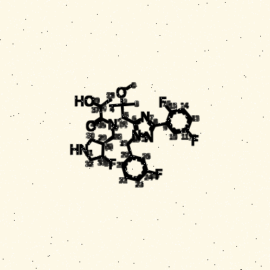 COC(C)(C)[C@H](c1nc(-c2cc(F)ccc2F)nn1Cc1cccc(F)c1)N(C[C@@H]1CNC[C@@H]1F)C(=O)[C@H](C)O